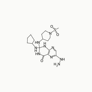 CS(=O)(=O)N1CCC(NC2(NC3CCCC3)NC(=O)c3nc(NN)cnc3N2)CC1